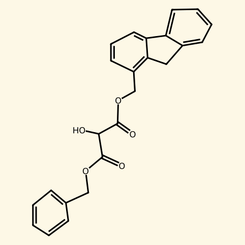 O=C(OCc1ccccc1)C(O)C(=O)OCc1cccc2c1Cc1ccccc1-2